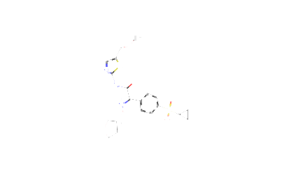 CC(C)OCc1cnc(NC(=O)/C(=N/O[C@@H]2CCOC2)c2ccc(S(=O)(=O)C3CC3)cc2)s1